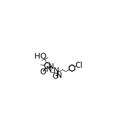 Cc1c(C(C)(C)O)cnn(Cc2nc(CCc3ccc(Cl)cc3)no2)c1=O